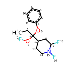 CCC(OF)(Oc1ccccc1)C1CCN(F)C(F)C1